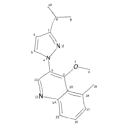 COc1c(-n2ccc(C(C)C)n2)[c]nc2cccc(C)c12